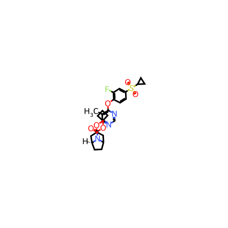 Cc1c(Oc2ccc(S(=O)(=O)C3CC3)cc2F)ncnc1O[C@H]1CC2CC[C@@H](C1)N2C(=O)OC1CCC1